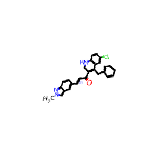 Cn1cc2cc(/C=C/C(=O)C3=C(Cc4ccccc4)c4cc(Cl)ccc4NC3)ccc2n1